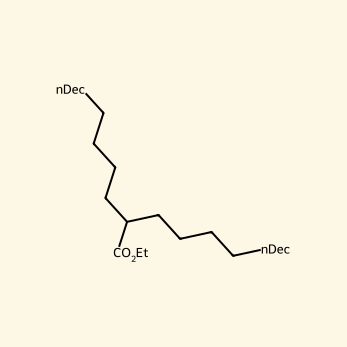 CCCCCCCCCCCCCCC(CCCCCCCCCCCCCC)C(=O)OCC